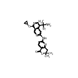 CCC(C)(N)c1cnc(OC2CC2)c2cnc(Nc3ccc4c(n3)CC(C)(C)OC4=O)cc12